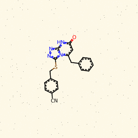 N#Cc1ccc(CSc2nnc3[nH]c(=O)cc(Cc4ccccc4)n23)cc1